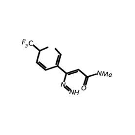 C/C=C(\C=C/C(C)C(F)(F)F)C(=C/C(=O)NC)/N=N